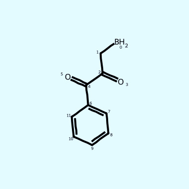 BCC(=O)C(=O)c1ccccc1